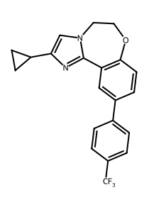 FC(F)(F)c1ccc(-c2ccc3c(c2)-c2nc(C4CC4)cn2CCO3)cc1